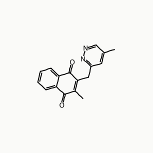 CC1=C(Cc2cc(C)cnn2)C(=O)c2ccccc2C1=O